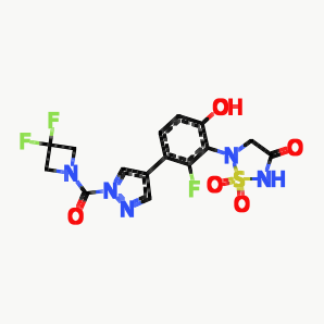 O=C1CN(c2c(O)ccc(-c3cnn(C(=O)N4CC(F)(F)C4)c3)c2F)S(=O)(=O)N1